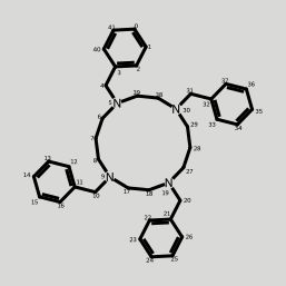 c1ccc(CN2CCCN(Cc3ccccc3)CCN(Cc3ccccc3)CCCN(Cc3ccccc3)CC2)cc1